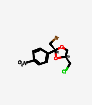 O=[N+]([O-])c1ccc([C@]2(CBr)OC[C@@H](CCl)O2)cc1